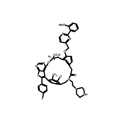 COc1ccccc1-c1nccc(COc2ccc3cc2C[C@H](C(=O)O)Oc2ncnc4sc(-c5ccc(F)cc5)c(c24)-c2ccc(c(Cl)c2C)CN(CCN2CCNCC2)C(=O)C3)n1